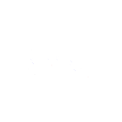 COc1ccccc1-n1nc(C(F)(F)F)cc1CNC(=O)Nc1ccc(N2CC(O)C2)nc1